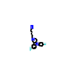 N#CCCCCCN1CCc2c(c3cc(F)ccc3n2-c2ccc(F)cc2)C1